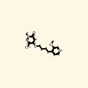 COc1cnccc1CCCCOc1cc(=O)n(C)nc1Cl